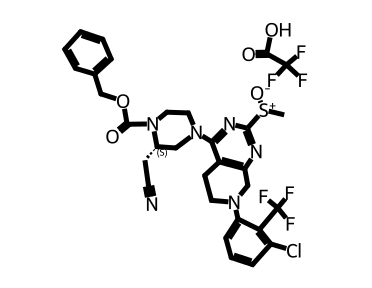 C[S+]([O-])c1nc2c(c(N3CCN(C(=O)OCc4ccccc4)[C@@H](CC#N)C3)n1)CCN(c1cccc(Cl)c1C(F)(F)F)C2.O=C(O)C(F)(F)F